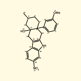 COc1cccc(C23CCN(C)CC2(O)Cc2c([nH]c4cc([N+](=O)[O-])ccc24)C3)c1